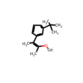 CC([O][Ge])=C(C)c1cccc(C(C)(C)C)c1